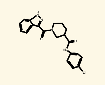 O=C(Nc1ccc(Cl)cc1)C1CCCN(C(=O)c2n[nH]c3ccccc23)C1